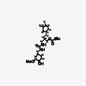 COc1cc(CNC(=S)NCC(CCc2ccc(C)c(C)c2)COC(=O)C(C)(C)C)ccc1O